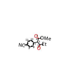 CCC(=O)C(C(=O)OC)c1ccc(C#N)cc1